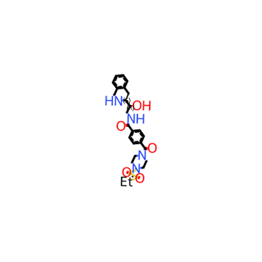 CCS(=O)(=O)N1CCN(C(=O)c2ccc(C(=O)NC[C@@H](O)[C@@H]3Cc4ccccc4CN3)cc2)CC1